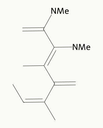 C=C(/C(C)=C\C)/C(C)=C(\NC)C(=C)NC